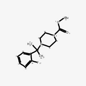 CC(C)(C)OC(=O)N1CCN(C(C)(C)c2ccccc2F)CC1